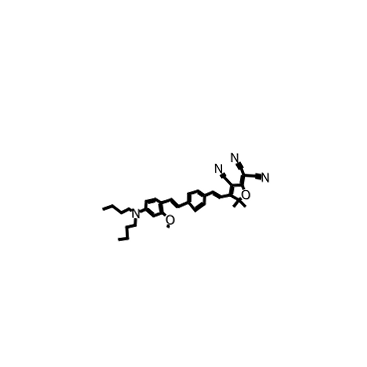 CCCCN(CCCC)c1ccc(C=Cc2ccc(C=CC3=C(C#N)C(=C(C#N)C#N)OC3(C)C)cc2)c(OC)c1